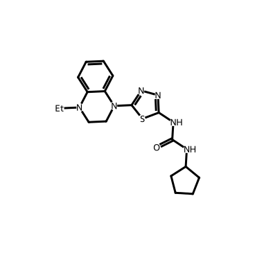 CCN1CCN(c2nnc(NC(=O)NC3CCCC3)s2)c2ccccc21